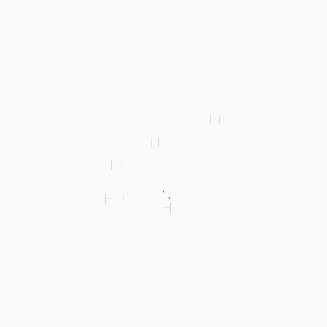 CC1Nc2ccc(Br)cc2C1(C)C